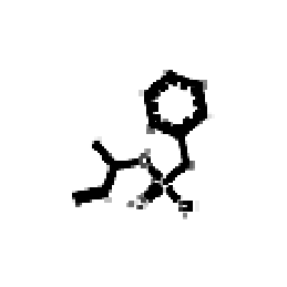 C=CC(C)OP(=O)(O)Cc1ccccc1